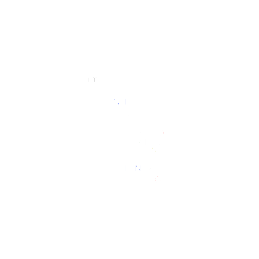 CC(C)CCNCc1ccc(Oc2ccc(C(N)=O)s2)c(Cl)c1